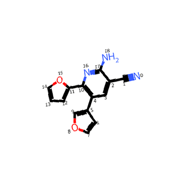 N#Cc1cc(-c2ccoc2)c(-c2ccco2)nc1N